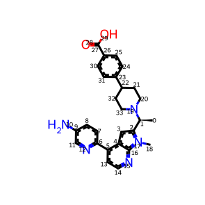 C[C@@H](c1cc2c(-c3ccc(N)cn3)ccnc2n1C)N1CCC(c2ccc(C(=O)O)cc2)CC1